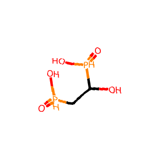 O=[PH](O)CC(O)[PH](=O)O